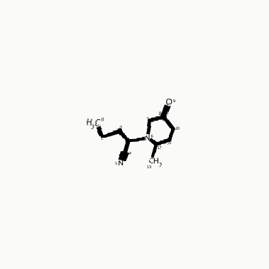 CCCC(C#N)N1CC(=O)CCC1C